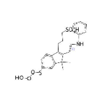 CC1(C)C(/C=C/Nc2ccccc2)=C(CCCS(=O)(=O)O)c2ccc(SOOO)cc21